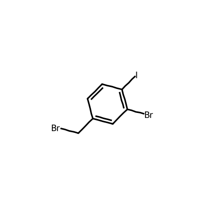 BrCc1ccc(I)c(Br)c1